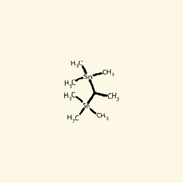 C[CH]([Sn]([CH3])([CH3])[CH3])[Sn]([CH3])([CH3])[CH3]